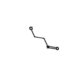 O=NCCCl